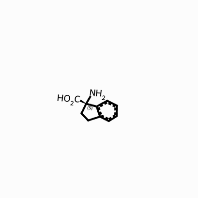 N[C@@]1(C(=O)O)CCc2ccccc21